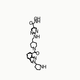 O=C(NO)c1cnc(NCC2CCN(C(=O)c3cccc4cn(C5CCCNC5)nc34)CC2)nc1